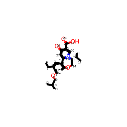 CCc1cc2c(cc1OCC(C)C)OC[C@@H](C(C)C)n1cc(C(=O)O)c(=O)cc1-2